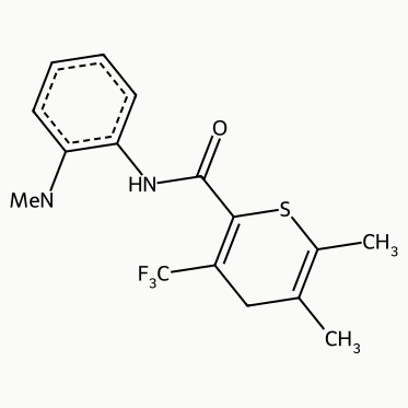 CNc1ccccc1NC(=O)C1=C(C(F)(F)F)CC(C)=C(C)S1